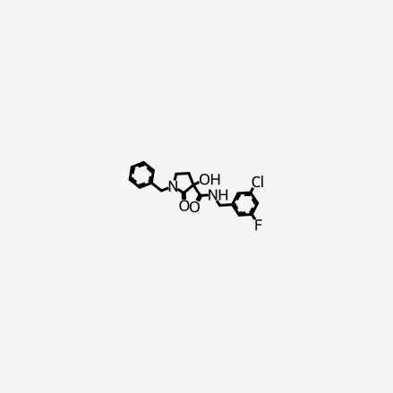 O=C(NCc1cc(F)cc(Cl)c1)C1(O)CCN(Cc2ccccc2)C1=O